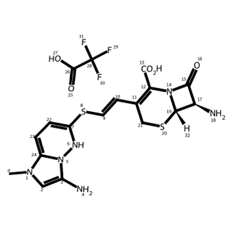 CN1C=C(N)N2NC(S/C=C/C3=C(C(=O)O)N4C(=O)[C@@H](N)[C@@H]4SC3)=CC=C12.O=C(O)C(F)(F)F